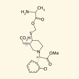 COC(=O)[C@H](c1ccccc1Cl)N1CCC(SCOC(=O)C(C)N)/C(=C\C(=O)O)C1